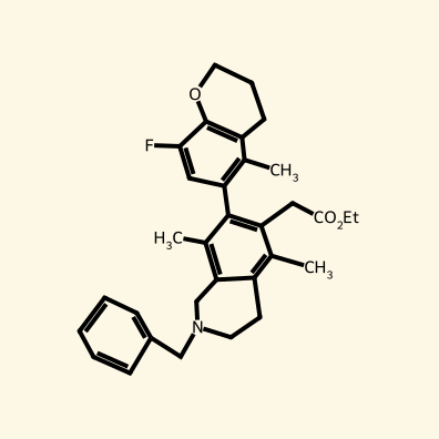 CCOC(=O)Cc1c(C)c2c(c(C)c1-c1cc(F)c3c(c1C)CCCO3)CN(Cc1ccccc1)CC2